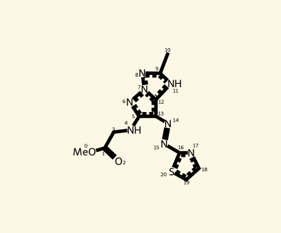 COC(=O)CNc1nn2nc(C)[nH]c2c1/N=N/c1nccs1